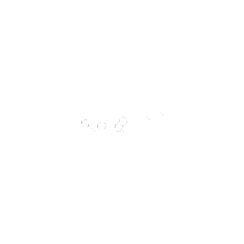 COc1cc2c(Oc3ccc(Nc4ccc(C(C)(C)C)cc4)cc3)ccnc2cc1OCCCN1CCC(N2CCCCC2)CC1